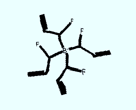 C=CC(F)[B-](C(F)C=C)(C(F)C=C)C(F)C=C